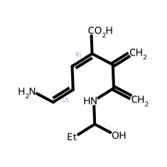 C=C(NC(O)CC)C(=C)/C(=C\C=C/N)C(=O)O